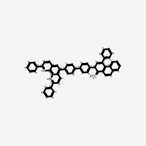 C=C1c2ccc3ccccc3c2C(c2ccccc2)=CC1c1ccc(-c2ccc(-c3cc4ccc(-c5ccccc5)nc4c4nc(-c5ccccc5)ccc34)cc2)cc1